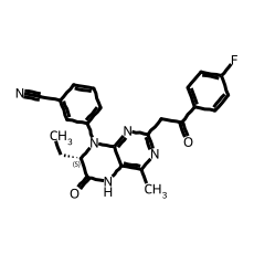 CC[C@H]1C(=O)Nc2c(C)nc(CC(=O)c3ccc(F)cc3)nc2N1c1cccc(C#N)c1